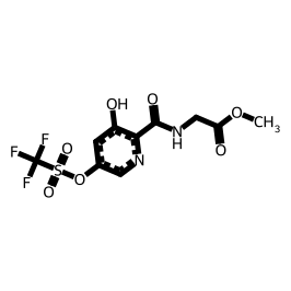 COC(=O)CNC(=O)c1ncc(OS(=O)(=O)C(F)(F)F)cc1O